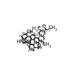 C=CC(=O)N1CC2CN(C)c3c(c4cc(F)c(-c5c(C)ccc6[nH]cnc56)c(Cl)c4n(-c4c(C)ccnc4C(C)C)c3=O)N2CC1C